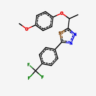 COc1ccc(OC(C)c2nnc(-c3ccc(C(F)(F)F)cc3)s2)cc1